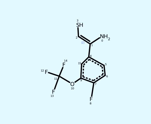 N/C(=C\S)c1ccc(F)c(OC(F)(F)F)c1